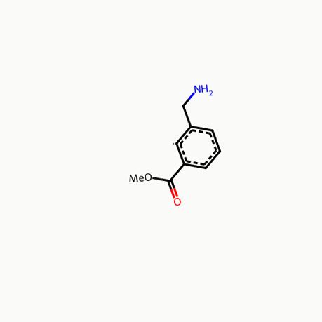 COC(=O)c1[c]c(CN)ccc1